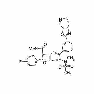 CNC(=O)c1c(-c2ccc(F)cc2)oc2cc(N(C)S(C)(=O)=O)c(-c3cccc(-c4nc5ccncc5o4)c3)cc12